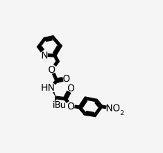 CC[C@H](C)[C@H](NC(=O)OCc1ccccn1)C(=O)Oc1ccc([N+](=O)[O-])cc1